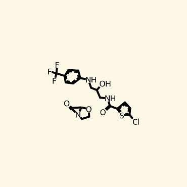 O=C(NCC(O)CNc1ccc(C(F)(F)F)cc1)c1ccc(Cl)s1.O=C1C2OCCN12